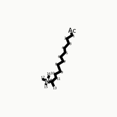 CC(=O)CCCCCCCCCCCC(C)[N+](C)(C)C